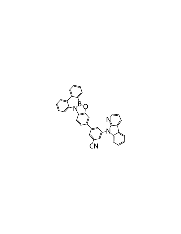 N#Cc1cc(-c2ccc3c(c2)OB2c4ccccc4-c4ccccc4N23)cc(-n2c3ccccc3c3cccnc32)c1